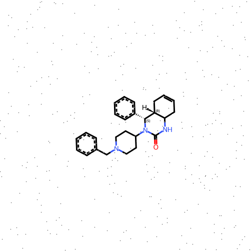 O=C1NC2CC=CC[C@H]2[C@@H](c2ccccc2)N1C1CCN(Cc2ccccc2)CC1